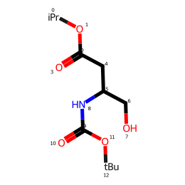 CC(C)OC(=O)CC(CO)NC(=O)OC(C)(C)C